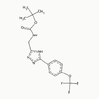 CC(C)(C)OC(=O)NCc1nnc(-c2ccc(OC(F)(F)F)cc2)[nH]1